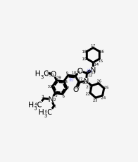 CCN(CC)c1ccc(/C=C2/O/C(=N\C3CCCCC3)N(C3CCCCC3)C2=O)c(OC)c1